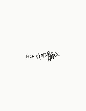 Cc1cc2nc(NC(=O)N3CCN(c4ncc(CCO)cc4C)CC3)sc2cc1C